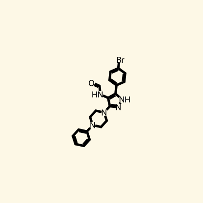 O=CNc1c(N2CCN(c3ccccc3)CC2)n[nH]c1-c1ccc(Br)cc1